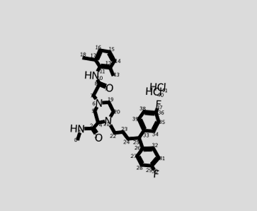 CNC(=O)C1CN(CC(=O)Nc2c(C)cccc2C)CCN1CCCC(c1ccc(F)cc1)c1ccc(F)cc1.Cl.Cl